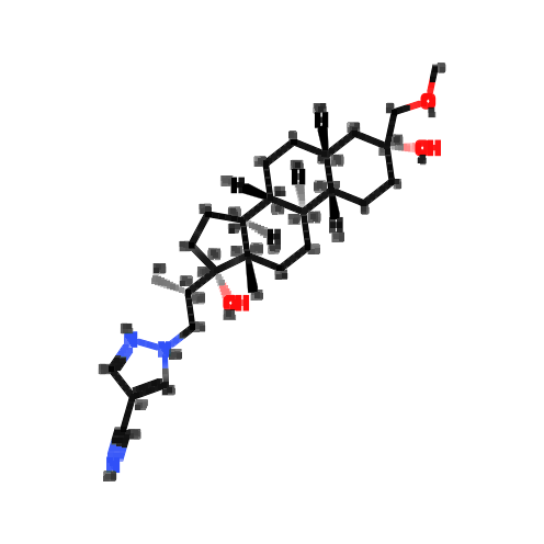 COC[C@@]1(O)CC[C@H]2[C@H](CC[C@@H]3[C@@H]2CC[C@@]2(C)[C@H]3CC[C@]2(O)[C@@H](C)Cn2cc(C#N)cn2)C1